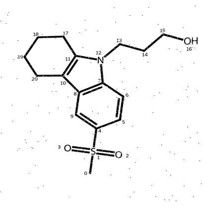 CS(=O)(=O)c1ccc2c(c1)c1c(n2CCCO)CCCC1